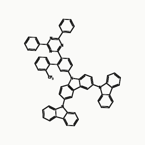 FC(F)(F)c1ccccc1-c1cc(-n2c3ccc(-n4c5ccccc5c5ccccc54)cc3c3cc(-n4c5ccccc5c5ccccc54)ccc32)ccc1-c1nc(-c2ccccc2)nc(-c2ccccc2)n1